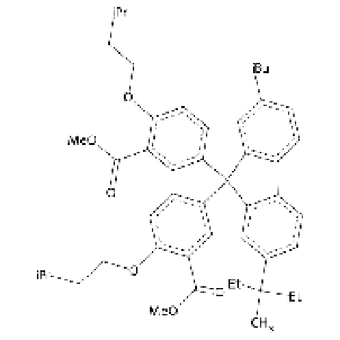 CCC(C)c1ccc2c(c1)C(c1ccc(OCCC(C)C)c(C(=O)OC)c1)(c1ccc(OCCC(C)C)c(C(=O)OC)c1)c1cc(C(C)(CC)CC)ccc1-2